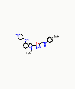 CSc1ccc(NCc2nnc(-c3cc4c(NC5CCN(C)CC5)cccc4n3CC(F)(F)F)o2)cc1